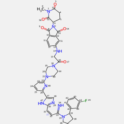 CN1C(=O)CCC(N2C(=O)c3ccc(NCC(=O)N4CCN(c5cccc(-c6cnc(/C=C\C(=N)N7CCCC7c7cccc(F)c7)[nH]6)n5)CC4)cc3C2=O)C1=O